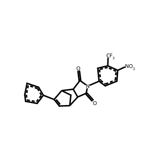 O=C1C2C3C=C(c4ccccc4)C(C3)C2C(=O)N1c1ccc([N+](=O)[O-])c(C(F)(F)F)c1